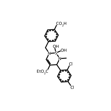 CCOC(=O)C1=CN(Cc2ccc(C(=O)O)cc2)S(O)(O)N(C)C1c1ccc(Cl)cc1Cl